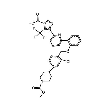 COC(=O)N1CCC(c2ccc(COc3ccccc3-c3cccc(-n4ncc(C(=O)O)c4C(F)(F)F)n3)c(Cl)c2)CC1